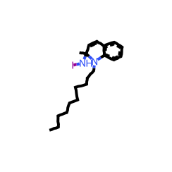 CCCCCCCCCCN1c2ccccc2C=CC1(C)NI